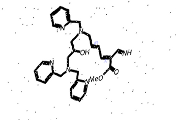 COC(=O)/C(C=N)=C/C=C/CN(Cc1ccccn1)CC(O)CN(Cc1ccccn1)Cc1ccccn1